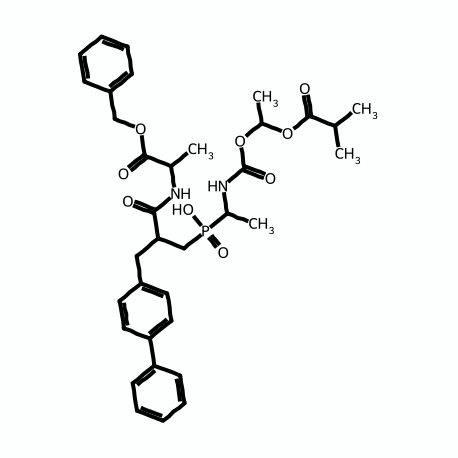 CC(OC(=O)NC(C)P(=O)(O)CC(Cc1ccc(-c2ccccc2)cc1)C(=O)NC(C)C(=O)OCc1ccccc1)OC(=O)C(C)C